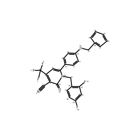 N#Cc1c(C(F)(F)F)cc(-c2ccc(OCc3ccccc3)cc2)n(Cc2ccc(F)cc2F)c1=O